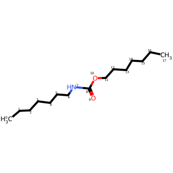 CCCCCCCNC(=O)OCCCCCCC